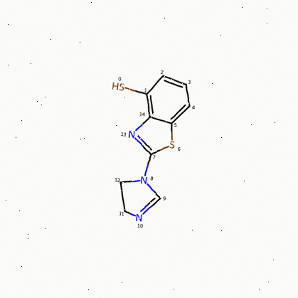 Sc1cccc2sc(N3C=NCC3)nc12